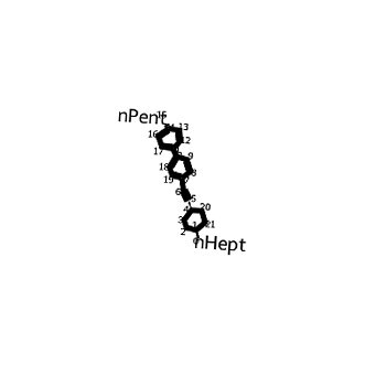 CCCCCCC[C@H]1CC[C@H](C#Cc2ccc(-c3ccc(CCCCC)cc3)cc2)CC1